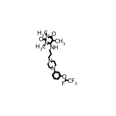 Cc1c(NCCCN2CCN(c3cccc(OC(F)C(F)(F)F)c3)CC2)n(C)c(=O)n(C)c1=O